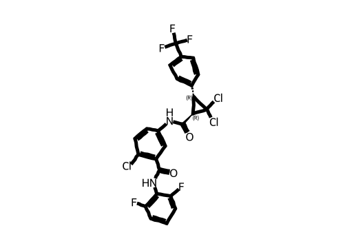 O=C(Nc1c(F)cccc1F)c1cc(NC(=O)[C@H]2[C@H](c3ccc(C(F)(F)F)cc3)C2(Cl)Cl)ccc1Cl